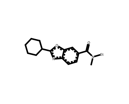 CCN(C)C(=O)c1ccc2nc(C3CCCCC3)oc2c1